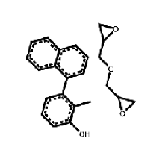 C(OCC1CO1)C1CO1.Cc1c(O)cccc1-c1cccc2ccccc12